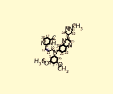 COc1cc(OC)cc(N(C/C=C\c2cc(C)ccn2)c2ccc3ncc(C4C=NN(C)C4)nc3c2)c1